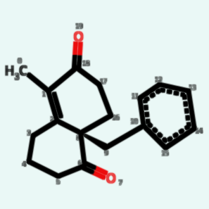 CC1=C2CCCC(=O)[C@@]2(Cc2ccccc2)CCC1=O